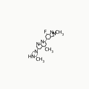 Cc1cc(-c2cc(F)c3nn(C)cc3c2)nc2ncc(N3CCNC(C)C3)cc12